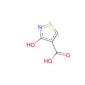 O=C(O)c1csnc1O